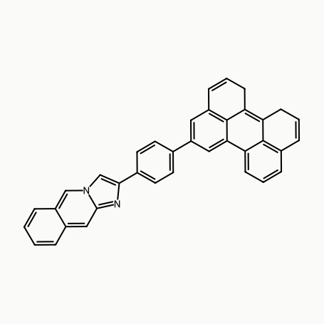 C1=Cc2cccc3c2c(c2c4c(cc(-c5ccc(-c6cn7cc8ccccc8cc7n6)cc5)cc43)C=CC2)C1